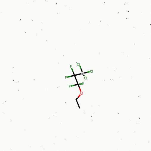 CCOC(F)(F)C(F)(F)[Si](Cl)(Cl)Cl